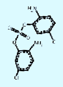 Nc1ccc(Cl)cc1OS(=O)(=O)Oc1cc(Cl)ccc1N